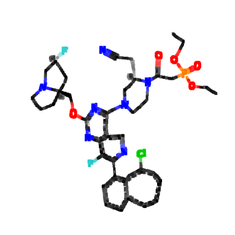 CCOP(=O)(CC(=O)N1CCN(c2nc(OC[C@@]34CCCN3C[C@H](F)C4)nc3c(F)c(-c4cccc5cccc(Cl)c45)ncc23)C[C@@H]1CC#N)OCC